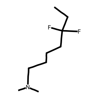 CCC(F)(F)CCCCN(C)C